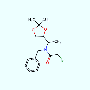 CC(C1COC(C)(C)O1)N(Cc1ccccc1)C(=O)CBr